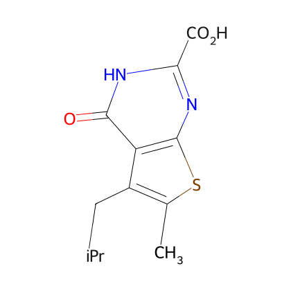 Cc1sc2nc(C(=O)O)[nH]c(=O)c2c1CC(C)C